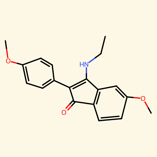 CCNC1=C(c2ccc(OC)cc2)C(=O)c2ccc(OC)cc21